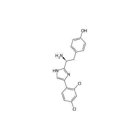 N[C@@H](Cc1ccc(O)cc1)c1nc(-c2ccc(Cl)cc2Cl)c[nH]1